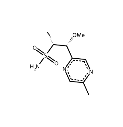 CO[C@H](c1cnc(C)cn1)[C@@H](C)S(N)(=O)=O